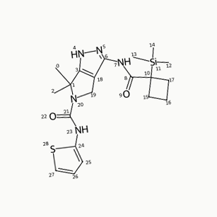 CC1(C)c2[nH]nc(NC(=O)C3([Si](C)(C)C)CCC3)c2CN1C(=O)Nc1cccs1